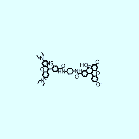 CCN(CC)c1ccc2c(-c3ccc(C(=O)NC4CCC(NC(=O)c5ccc(-c6c7ccc(=O)cc-7oc7cc([O-])ccc67)c(C(=O)O)c5)CC4)cc3S)c3ccc(=[N+](CC)CC)cc-3oc2c1